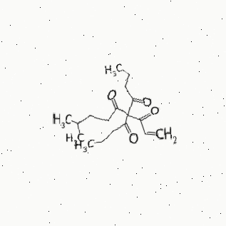 C=CC(=O)C(C(=O)CCC)(C(=O)CCC)C(=O)CCC(C)C